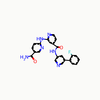 NC(=O)c1ccc(Nc2cc(C(=O)Nc3cncc(-c4ccccc4F)c3)ccn2)nc1